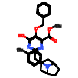 CC(C)(C)OC(=O)c1nc(CC2CC3CCC(C2)N3c2ccc(C(C)(C)C)cc2)nc(O)c1OCc1ccccc1